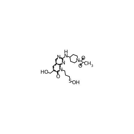 CS(=O)(=O)N1CCC(Nc2ncc3cc(CO)c(=O)n(CCCSO)c3n2)CC1